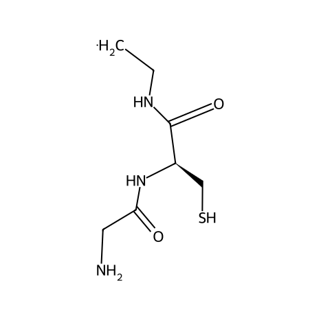 [CH2]CNC(=O)[C@@H](CS)NC(=O)CN